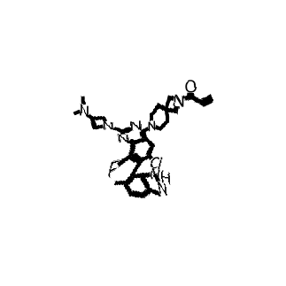 C=CC(=O)N1CC2(CCN(c3nc(N4CC(N(C)C)C4)nc4c(F)c(-c5c(C)ccc6cn[nH]c56)c(Cl)cc34)CC2)C1